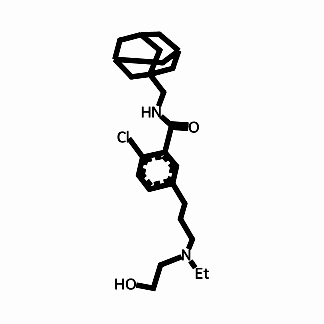 CCN(CCO)CCCc1ccc(Cl)c(C(=O)NCC23CC4CC(CC(C4)C2)C3)c1